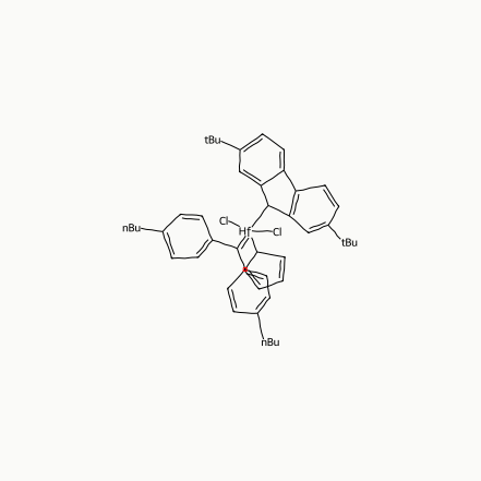 CCCCc1ccc([C](c2ccc(CCCC)cc2)=[Hf]([Cl])([Cl])([CH]2C=CC=C2)[CH]2c3cc(C(C)(C)C)ccc3-c3ccc(C(C)(C)C)cc32)cc1